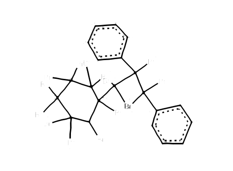 BrC1C(Br)(Br)C(Br)(Br)C(Br)(Br)C(Br)(Br)C1(Br)C(Br)(Br)C(Br)(c1ccccc1)C(Br)(Br)c1ccccc1